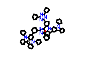 c1ccc(-c2cc(-c3cc(-c4nc(-c5ccccc5)nc(-c5ccccc5)n4)ccc3-n3c4ccccc4c4cc5c6ccccc6n(-c6ccccc6)c5cc43)nc(-c3cccc(-c4cc5c6c(c4)N(c4ccccc4)c4ccccc4B6c4ccccc4N5c4ccccc4)c3)n2)cc1